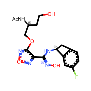 CC(=O)N[C@@H](CCO)COc1nonc1/C(=N/O)N[C@H]1Cc2ccc(F)cc21